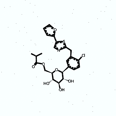 CC(C)C(=O)OC[C@H]1O[C@@H](c2ccc(Cl)c(Cc3ncc(-c4ccco4)s3)c2)[C@H](O)[C@@H](O)[C@@H]1O